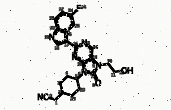 N#CCC1CCC(n2c(=O)n(CCO)c3cnc(-c4cnc5ccc(F)cn45)nc32)CC1